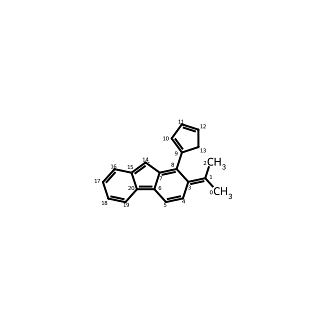 CC(C)=c1ccc2c(c1C1=CC=CC1)[C]=c1ccccc1=2